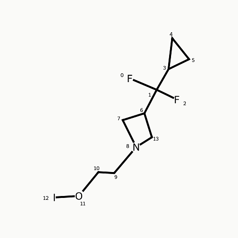 FC(F)(C1CC1)C1CN(CCOI)C1